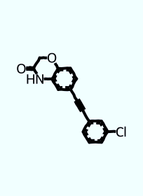 O=C1COc2ccc(C#Cc3cccc(Cl)c3)cc2N1